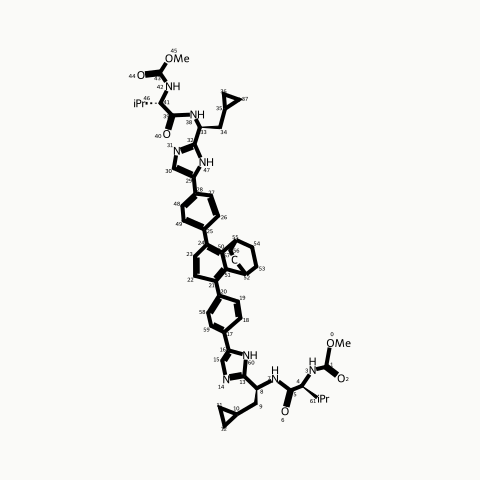 COC(=O)N[C@H](C(=O)N[C@@H](CC1CC1)c1ncc(-c2ccc(-c3ccc(-c4ccc(-c5cnc([C@H](CC6CC6)NC(=O)[C@@H](NC(=O)OC)C(C)C)[nH]5)cc4)c4c3C3CCC4CC3)cc2)[nH]1)C(C)C